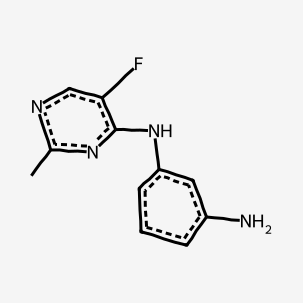 Cc1ncc(F)c(Nc2cccc(N)c2)n1